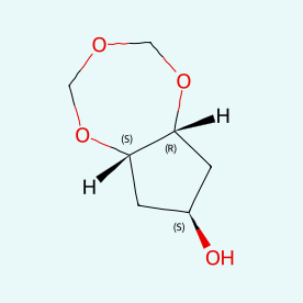 O[C@H]1C[C@@H]2OCOCO[C@@H]2C1